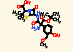 COCc1cc(C(N)(C(=O)NC2C(=O)N3C2SC(C)(C)C3C(=O)O)C(=O)OC(C)(C)C)ccc1O